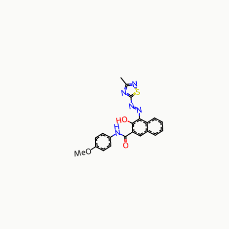 COc1ccc(NC(=O)c2cc3ccccc3c(/N=N/c3nc(C)ns3)c2O)cc1